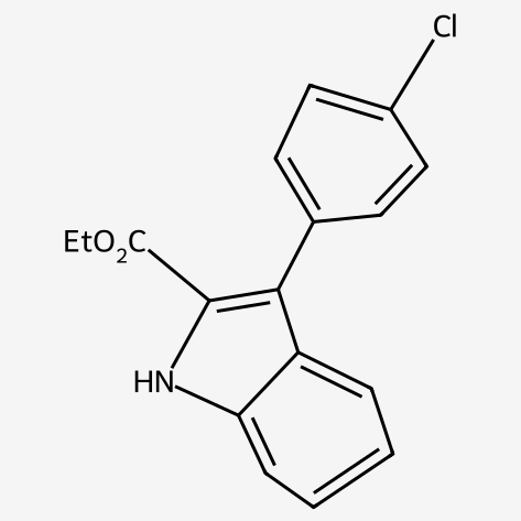 CCOC(=O)c1[nH]c2ccccc2c1-c1ccc(Cl)cc1